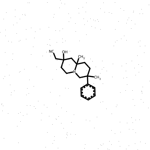 CC1(c2ccccc2)CCC2(C)CC(O)(CC#N)CCN2C1